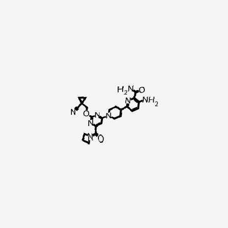 N#CC1(COc2nc(C(=O)N3CCC3)cc(N3CCC(c4ccc(N)c(C(N)=O)n4)CC3)n2)CC1